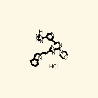 C(=Cc1cn2c(-c3cncc(-c4nnn[nH]4)c3)cnc(N3CCOCC3)c2n1)c1ccc2ccccc2n1.Cl